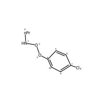 CCCNOOc1ccc(Cl)cc1